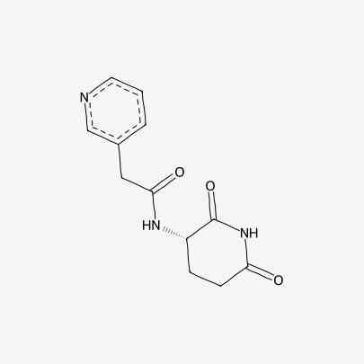 O=C1CC[C@H](NC(=O)Cc2cccnc2)C(=O)N1